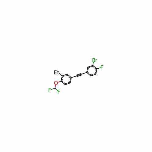 CCc1cc(C#Cc2ccc(F)c(Br)c2)ccc1OC(F)F